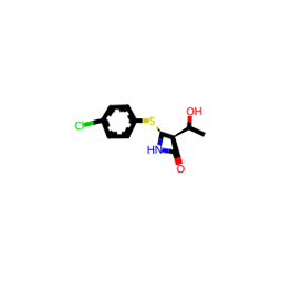 CC(O)[C@H]1C(=O)N[C@@H]1Sc1ccc(Cl)cc1